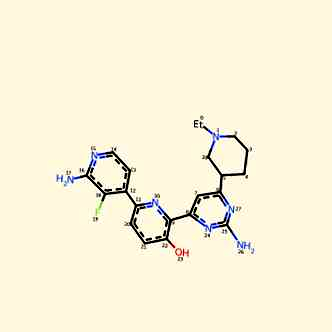 CCN1CCCC(c2cc(-c3nc(-c4ccnc(N)c4F)ccc3O)nc(N)n2)C1